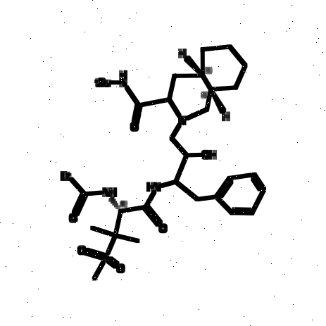 CCC(=O)N[C@H](C(=O)NC(Cc1ccccc1)C(O)CN1C[C@H]2CCCC[C@H]2CC1C(=O)NC(C)(C)C)C(C)(C)S(C)(=O)=O